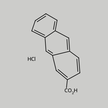 Cl.O=C(O)c1ccc2cc3ccccc3cc2c1